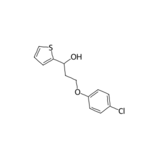 OC(CCOc1ccc(Cl)cc1)c1cccs1